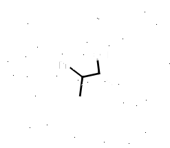 CC(C)C(C)[C@@H](C)O